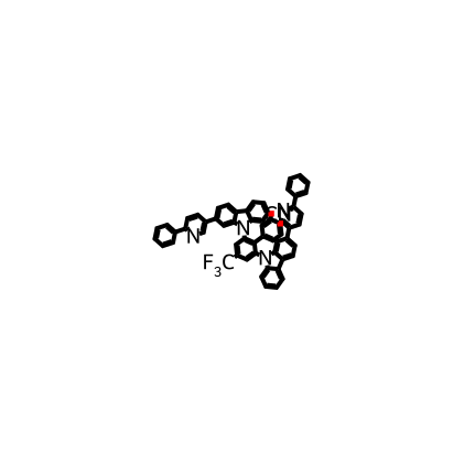 N#Cc1cccc(-c2c(-n3c4ccccc4c4ccc(-c5ccc(-c6ccccc6)nc5)cc43)cc(C(F)(F)F)cc2-n2c3ccccc3c3ccc(-c4ccc(-c5ccccc5)nc4)cc32)c1